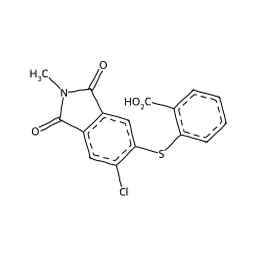 CN1C(=O)c2cc(Cl)c(Sc3ccccc3C(=O)O)cc2C1=O